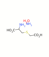 N.NC(CSCC(=O)O)C(=O)O.O